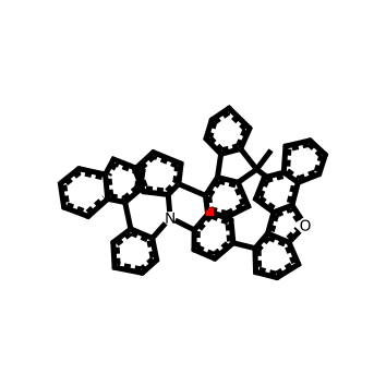 CC1(C)c2ccccc2-c2c(-c3ccccc3N(c3ccc(-c4cccc5oc6c7ccccc7ccc6c45)cc3)c3ccccc3-c3cccc4ccccc34)cccc21